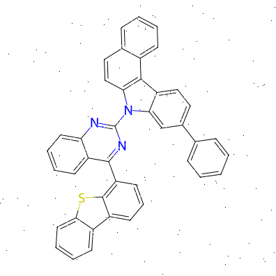 c1ccc(-c2ccc3c4c5ccccc5ccc4n(-c4nc(-c5cccc6c5sc5ccccc56)c5ccccc5n4)c3c2)cc1